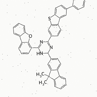 CC1(C)c2ccccc2-c2ccc(C3N=C(c4ccc5c(c4)sc4ccc(-c6ccccc6)cc45)N=C(c4cccc5c4oc4ccccc45)N3)cc21